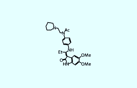 CCC(Nc1ccc(N(CCN2CCCCC2)C(C)=O)cc1)=C1C(=O)Nc2cc(OC)c(OC)cc21